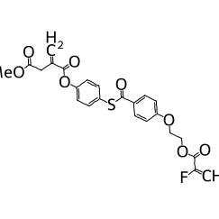 C=C(F)C(=O)OCCOc1ccc(C(=O)Sc2ccc(OC(=O)C(=C)CC(=O)OC)cc2)cc1